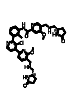 COc1cc(C(=O)Nc2cccc(-c3nccc(-c4ccc(CNC[C@@H]5CCC(=O)N5)c(OC)n4)c3Cl)c2C)ncc1CNC[C@H]1CCC(=O)N1